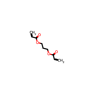 C=CC(=O)OC[CH]COC(=O)C=C